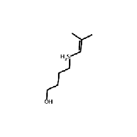 CC(C)=C[SiH2]CCCCO